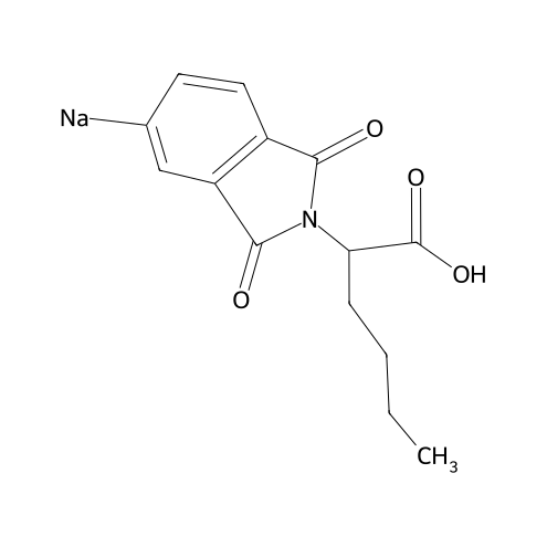 CCCCC(C(=O)O)N1C(=O)c2cc[c]([Na])cc2C1=O